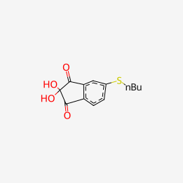 CCCCSc1ccc2c(c1)C(=O)C(O)(O)C2=O